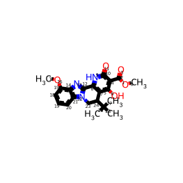 COC(=O)c1c(O)c2c([nH]c1=O)-c1nc3c(OC)cccc3n1CC2C(C)(C)C